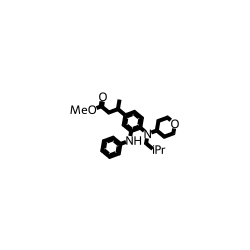 COC(=O)CC(C)c1ccc(N(CC(C)C)C2CCOCC2)c(Nc2ccccc2)c1